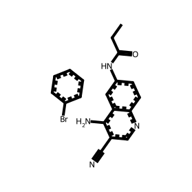 Brc1ccccc1.CCC(=O)Nc1ccc2ncc(C#N)c(N)c2c1